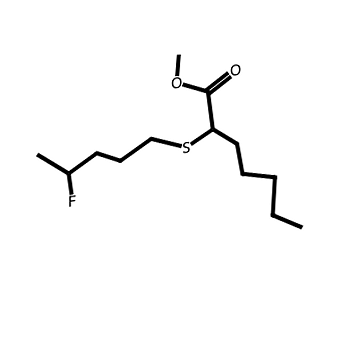 CCCCCC(SCCCC(C)F)C(=O)OC